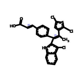 C/C(=C(/c1ccc(/C=C/C(=O)O)cc1)c1[nH]c2ccccc2c1Cl)c1cc(Cl)sc1Cl